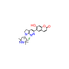 CC1(C)C[C@H](N2CCc3cc(-c4cc5ccc(=O)oc5cc4O)nnc32)[C@H](F)C(C)(C)N1